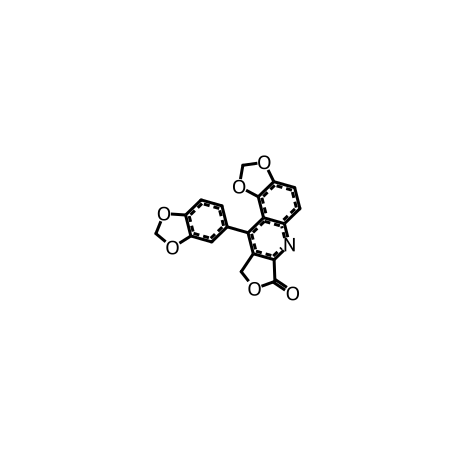 O=C1OCc2c1nc1ccc3c(c1c2-c1ccc2c(c1)OCO2)OCO3